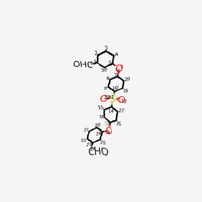 O=CC1CCCC(OC2CCC(S(=O)(=O)C3CCC(OC4CCCC(C=O)C4)CC3)CC2)C1